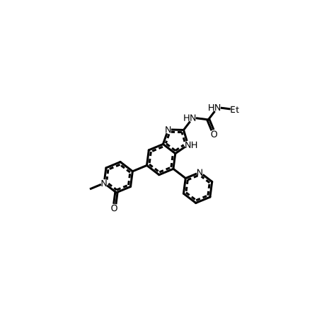 CCNC(=O)Nc1nc2cc(-c3ccn(C)c(=O)c3)cc(-c3ccccn3)c2[nH]1